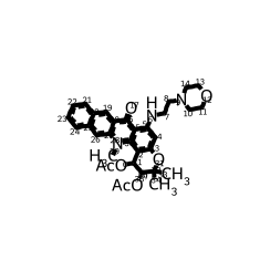 CC(=O)OC1c2c(cc(NCCN3CCOCC3)c3c(=O)c4cc5ccccc5cc4n(C)c23)OC(C)(C)[C@H]1OC(C)=O